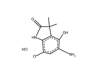 CC1(C)C(=O)Nc2c(Cl)cc(N)c(O)c21.Cl